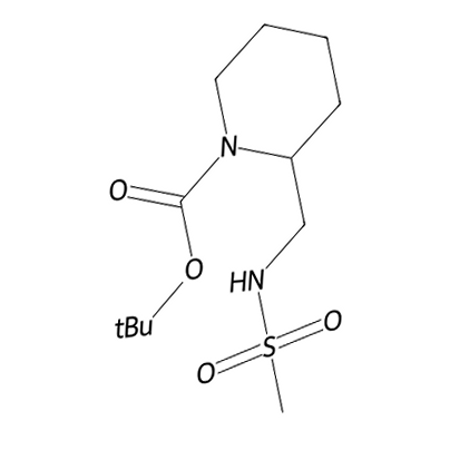 CC(C)(C)OC(=O)N1CCCCC1CNS(C)(=O)=O